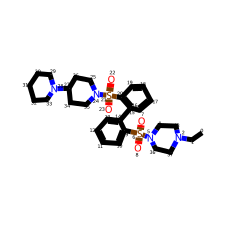 CCN1CCN(S(=O)(=O)c2ccccc2-c2ccc[c]c2S(=O)(=O)N2CCC(N3CCCCC3)CC2)CC1